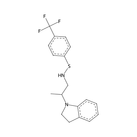 CC(CNSc1ccc(C(F)(F)F)cc1)N1CCc2ccccc21